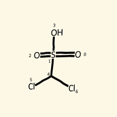 O=S(=O)(O)C(Cl)Cl